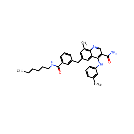 COc1cccc(Nc2c(C(N)=O)cnc3c(C)cc(Cc4cccc(C(=O)NCCCCCC=O)c4)cc23)c1